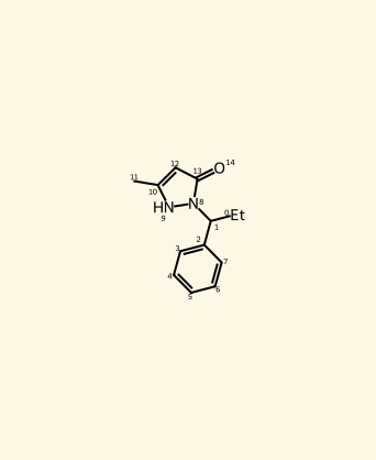 CCC(c1ccccc1)n1[nH]c(C)cc1=O